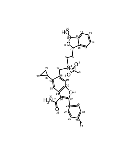 CS(=O)(=O)N(CCC1OB(O)c2ccccc21)Cc1cc2oc(-c3ccc(F)cc3)c(C(N)=O)c2cc1C1CC1